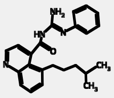 CC(C)CCCc1cccc2nccc(C(=O)NC(N)=Nc3ccccc3)c12